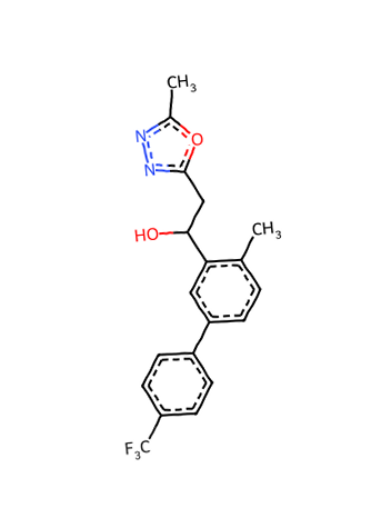 Cc1nnc(CC(O)c2cc(-c3ccc(C(F)(F)F)cc3)ccc2C)o1